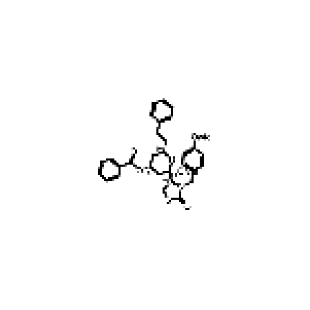 COc1ccc(CN2C(=O)SC[C@H]2[C@@]2(OC)C[C@H](OC(=O)c3ccccc3)C[C@@H](CCc3ccccc3)O2)cc1